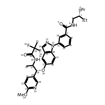 CCC[C@H](CC)CNC(=O)c1cccc(-n2ncc3cc(O[C@H](c4ccc(OC)nc4)C(C)NC(=O)C(C)(F)F)ccc32)c1